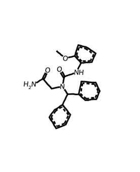 COc1ccccc1NC(=O)N(CC(N)=O)C(c1ccccc1)c1ccccc1